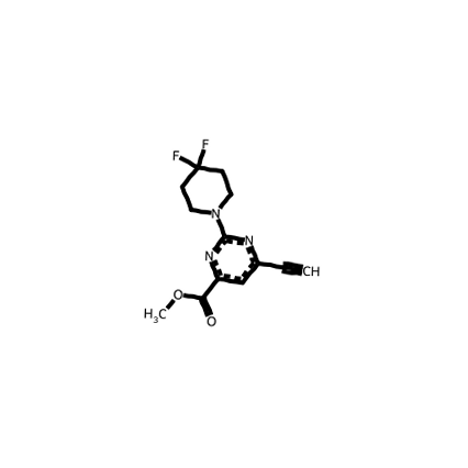 C#Cc1cc(C(=O)OC)nc(N2CCC(F)(F)CC2)n1